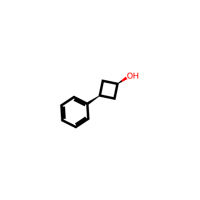 O[C@H]1C[C@@H](c2ccccc2)C1